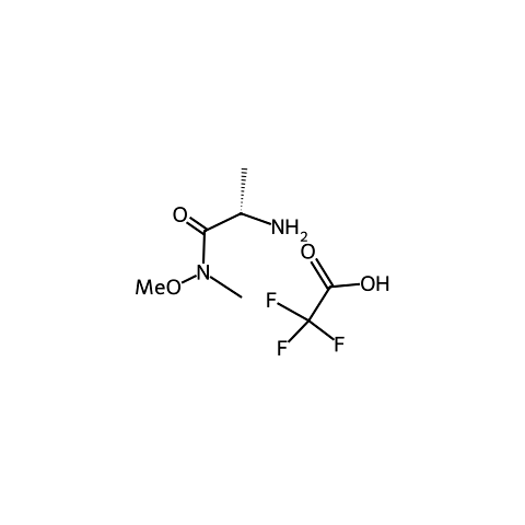 CON(C)C(=O)[C@H](C)N.O=C(O)C(F)(F)F